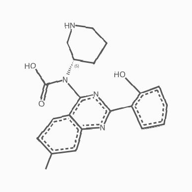 Cc1ccc2c(N(C(=O)O)[C@H]3CCCNC3)nc(-c3ccccc3O)nc2c1